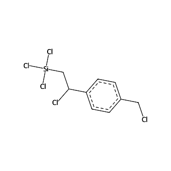 ClCc1ccc(C(Cl)C[Si](Cl)(Cl)Cl)cc1